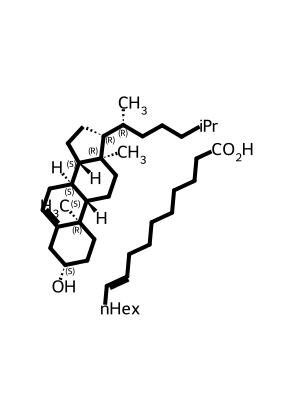 CC(C)CCC[C@@H](C)[C@H]1CC[C@H]2[C@@H]3CC=C4C[C@@H](O)CC[C@]4(C)[C@H]3CC[C@]12C.CCCCCCC=CCCCCCCCC(=O)O